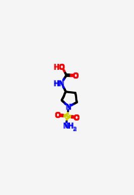 NS(=O)(=O)N1CCC(NC(=O)O)C1